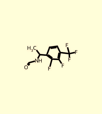 CC(NC=O)c1ccc(C(F)(F)F)c(F)c1F